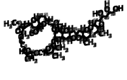 C=C1C[C@@H]2CCOC3O[C@H](CC)[C@@H]3[C@H]3C[C@@H](OC)[C@H]4O[C@H](CC[C@@H]4O3)CC(=O)O[C@@H]3[C@@H](C)[C@@H]4O[C@@H]5C[C@]6(C[C@@H]7O[C@]8(C[C@H](C)[C@@H]9O[C@H]([C@@H](O)C[C@@H](O)CO)C[C@@H]9O8)C[C@H](C)[C@@H]7O6)O[C@@H]5C[C@@H]4O[C@H]3C[C@H]3O[C@@H](CC[C@@H]1O2)C[C@@H](C)C3=C